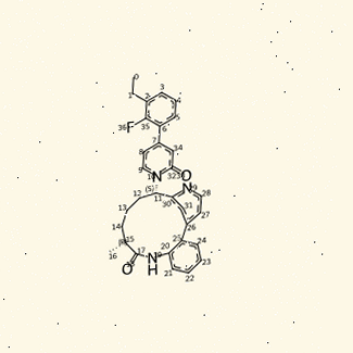 CCc1cccc(-c2ccn([C@H]3CCC[C@@H](C)C(=O)Nc4ccccc4-c4ccnc3c4)c(=O)c2)c1F